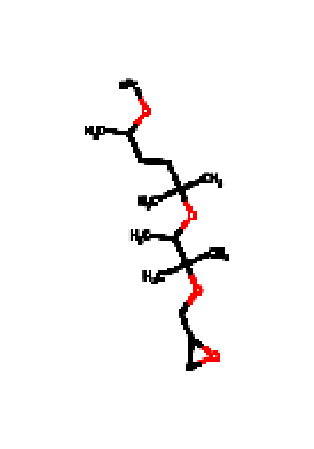 CCCOC(C)CCC(C)(C)OC(C)C(C)(C)OCC1CO1